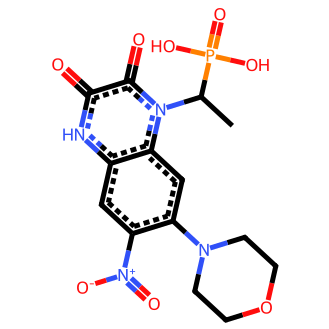 CC(n1c(=O)c(=O)[nH]c2cc([N+](=O)[O-])c(N3CCOCC3)cc21)P(=O)(O)O